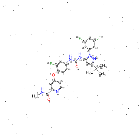 CNC(=O)c1cc(Oc2ccc(NC(=O)Nc3cc(C(C)(C)C)nn3-c3cc(F)cc(F)c3)cc2F)ccn1